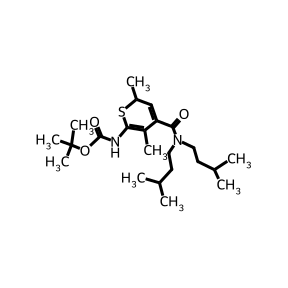 CC1=C(NC(=O)OC(C)(C)C)SC(C)C=C1C(=O)N(CCC(C)C)CCC(C)C